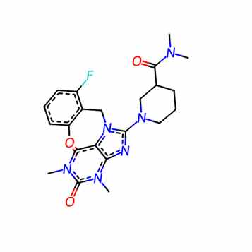 Cc1cccc(F)c1Cn1c(N2CCCC(C(=O)N(C)C)C2)nc2c1c(=O)n(C)c(=O)n2C